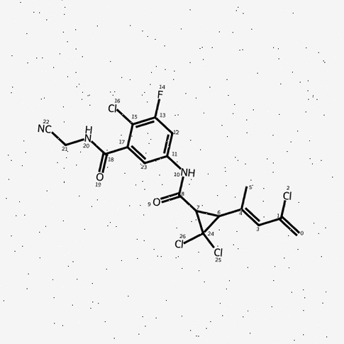 C=C(Cl)/C=C(\C)C1C(C(=O)Nc2cc(F)c(Cl)c(C(=O)NCC#N)c2)C1(Cl)Cl